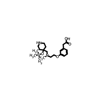 CN(CCOc1cccc(CC(=O)O)c1)CC1(O[Si](C)(C)C)CCNCC1